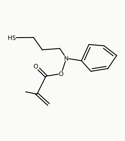 C=C(C)C(=O)ON(CCCS)c1ccccc1